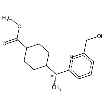 COC(=O)C1CCC([C@@H](C)c2cccc(CO)n2)CC1